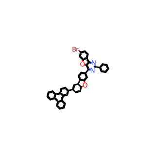 Brc1ccc2c(c1)oc1c(-c3ccc4c(c3)OC3C=CC(c5ccc6c7ccccc7c7ccccc7c6c5)=CC43)nc(-c3ccccc3)nc12